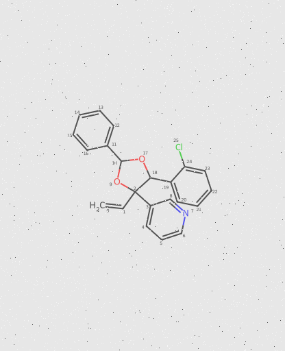 C=CC1(c2cccnc2)OC(c2ccccc2)OC1c1ccccc1Cl